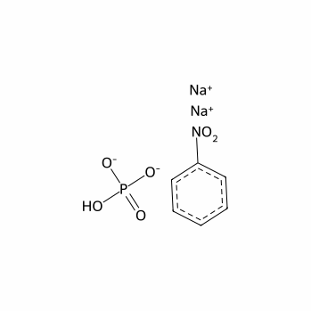 O=P([O-])([O-])O.O=[N+]([O-])c1ccccc1.[Na+].[Na+]